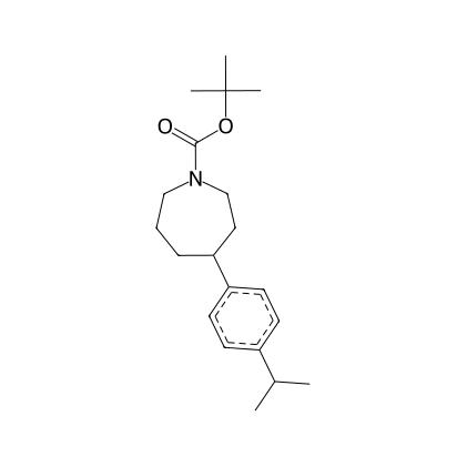 CC(C)c1ccc(C2CCCN(C(=O)OC(C)(C)C)CC2)cc1